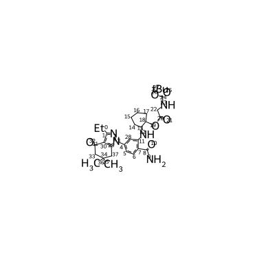 CCc1nn(-c2ccc(C(N)=O)c(NC3CCCCC3OC(=O)CNC(=O)OC(C)(C)C)c2)c2c1C(=O)CC(C)(C)C2